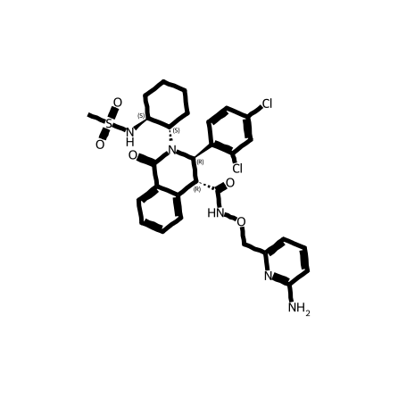 CS(=O)(=O)N[C@H]1CCCC[C@@H]1N1C(=O)c2ccccc2[C@@H](C(=O)NOCc2cccc(N)n2)[C@@H]1c1ccc(Cl)cc1Cl